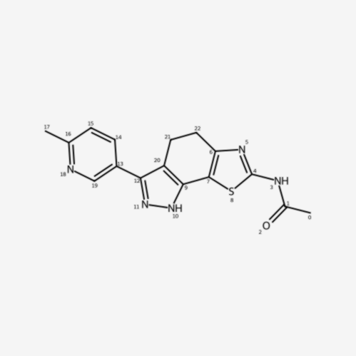 CC(=O)Nc1nc2c(s1)-c1[nH]nc(-c3ccc(C)nc3)c1CC2